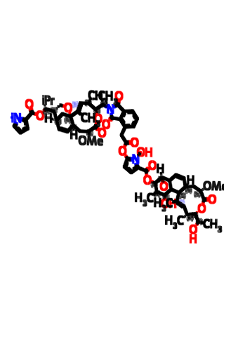 CO[C@H]1C[C@H]2C=CC3C4[C@H](O)[C@@H](C)[C@@H](OC(=O)c5ccc(OC(=O)Cc6cccc7c6C(=O)N([C@@H](C)[C@H]6OC(=O)[C@@H](OC)C[C@H]8C=C[C@@H]9C[C@]8(OC[C@H]9[C@H](OC(=O)c8ccc[nH]8)C(C)C)/C(C)=C/[C@H]6C)C7=O)n5O)[C@@H]3O[C@]42/C(C)=C/[C@@H](C)[C@@H]([C@@H](C)O)OC1=O